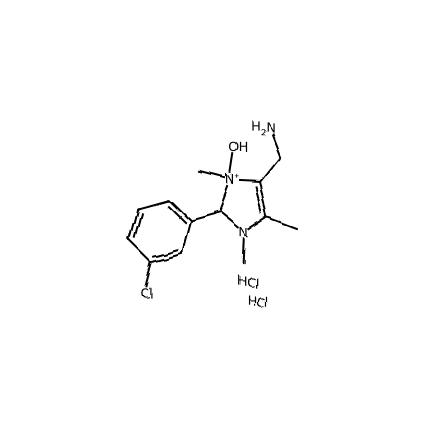 CC1=C(CN)[N+](C)(O)C(c2cccc(Cl)c2)N1C.Cl.Cl